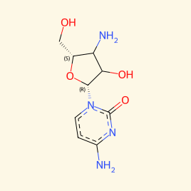 Nc1ccn([C@@H]2O[C@H](CO)C(N)C2O)c(=O)n1